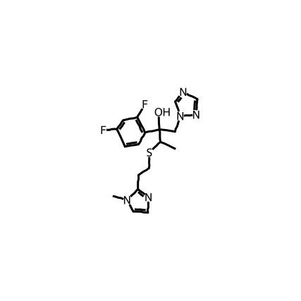 CC(SCCc1nccn1C)C(O)(Cn1cncn1)c1ccc(F)cc1F